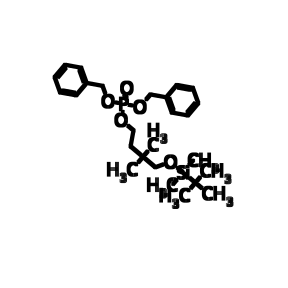 CC(C)(CCOP(=O)(OCc1ccccc1)OCc1ccccc1)CO[Si](C)(C)C(C)(C)C